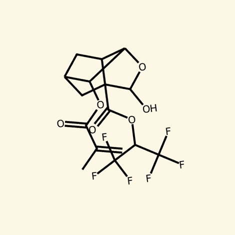 C=C(C)C(=O)OC1C2CC3C1OC(O)C3(C(=O)OC(C(F)(F)F)C(F)(F)F)C2